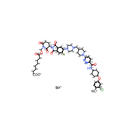 N#Cc1ccc(OC2CCC(NC(=O)c3ccc(N4CCC(CN5CCN(c6cc7c(cc6F)C(=O)N(C6CCC(=O)N(COC(=O)CCCCCCC(=O)[O-])C6=O)C7=O)CC5)CC4)nn3)CC2)cc1Cl.[Na+]